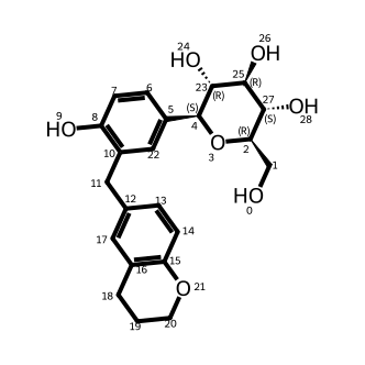 OC[C@H]1O[C@@H](c2ccc(O)c(Cc3ccc4c(c3)CCCO4)c2)[C@H](O)[C@@H](O)[C@@H]1O